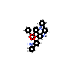 c1ccc(-c2ccccc2-c2ccccc2-c2c(-c3ccccc3-c3cccc4c3[nH]c3ccccc34)ccc3c2-c2c4c(ccc2=N3)=c2ccccc2=N4)cc1